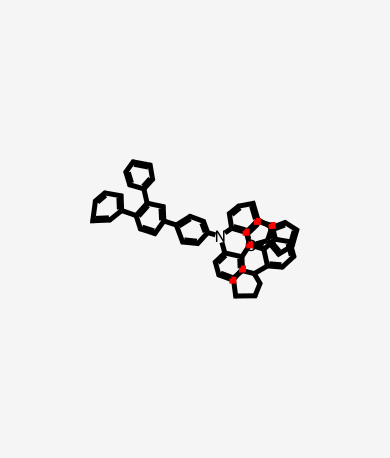 c1ccc(-c2ccc(-c3ccc(N(c4ccccc4-c4cccc5cccc(C6CCCCC6)c45)c4cccc5c4oc4ccccc45)cc3)cc2-c2ccccc2)cc1